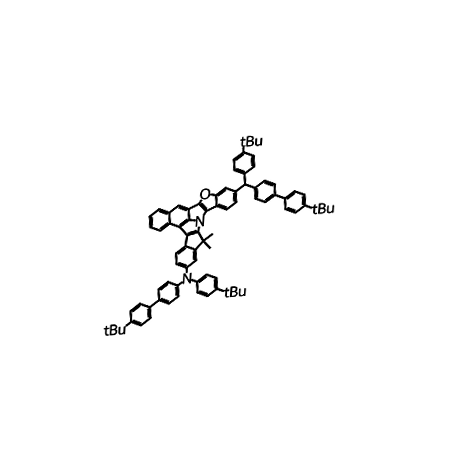 CC(C)(C)c1ccc(-c2ccc(C(c3ccc(C(C)(C)C)cc3)c3ccc4c(c3)oc3c5cc6ccccc6c6c7c(n(c43)c56)C(C)(C)c3cc(N(c4ccc(-c5ccc(C(C)(C)C)cc5)cc4)c4ccc(C(C)(C)C)cc4)ccc3-7)cc2)cc1